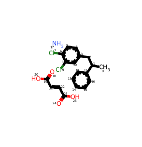 CC(Cc1ccc(Cl)c(Cl)c1)c1ccccc1.N.O=C(O)C=CC(=O)O